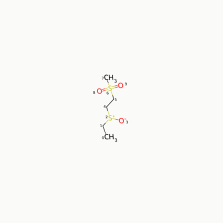 CC[S+]([O-])CCS(C)(=O)=O